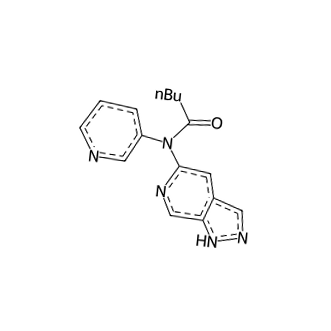 CCCCC(=O)N(c1cccnc1)c1cc2cn[nH]c2cn1